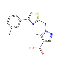 Cc1cccc(-c2csc(Cn3ncc(C(=O)O)c3C)n2)c1